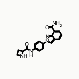 NC(=O)c1cccc2cn(-c3ccc(NC(=O)C4CCN4)cc3)nc12